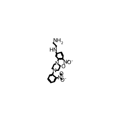 NCCNc1ccc([N+](=O)[O-])c(N2CCN(c3ccccc3[N+](=O)[O-])CC2)c1